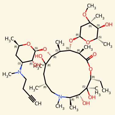 C#CCCN(C)[C@H]1C[C@@H](C)O[C@@H](O[C@@H]2[C@@H](C)[C@H](O[C@H]3C[C@@](C)(OC)[C@@H](O)[C@H](C)O3)[C@@H](C)C(=O)O[C@H](CC)[C@@](C)(O)[C@H](O)[C@@H](C)N(C)C[C@H](C)C[C@@]2(C)O)[C@@H]1O